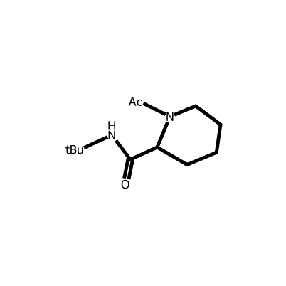 CC(=O)N1CCCCC1C(=O)NC(C)(C)C